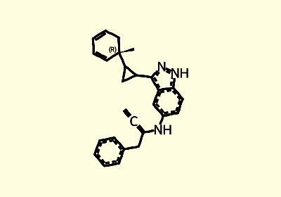 C=C=C(Cc1ccccc1)Nc1ccc2[nH]nc(C3CC3[C@]3(C)C=CC=CC3)c2c1